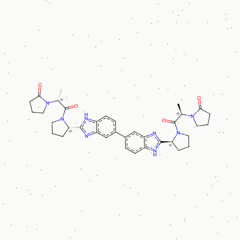 C[C@H](C(=O)N1CCC[C@H]1c1nc2cc(-c3ccc4[nH]c([C@@H]5CCCN5C(=O)[C@@H](C)N5CCCC5=O)nc4c3)ccc2[nH]1)N1CCCC1=O